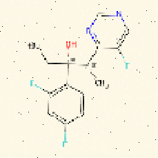 C[C@@H](c1ncncc1F)[C@](O)(CC(C)(C)C)c1ccc(F)cc1F